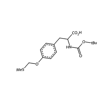 CSCOc1ccc(CC(NC(=O)OC(C)(C)C)C(=O)O)cc1